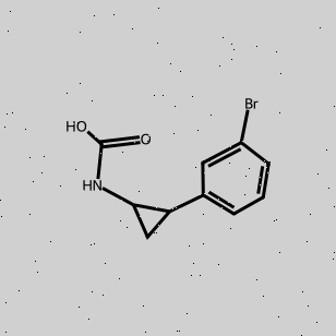 O=C(O)NC1CC1c1cccc(Br)c1